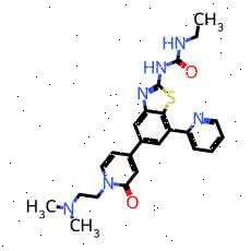 CCNC(=O)Nc1nc2cc(-c3ccn(CCN(C)C)c(=O)c3)cc(-c3ccccn3)c2s1